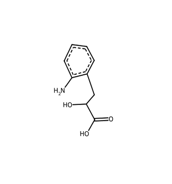 Nc1ccccc1CC(O)C(=O)O